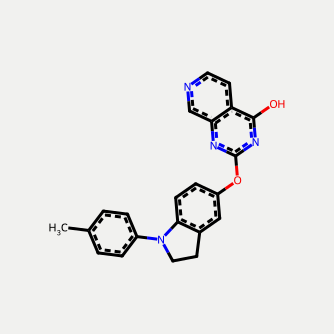 Cc1ccc(N2CCc3cc(Oc4nc(O)c5ccncc5n4)ccc32)cc1